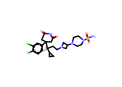 C[C@](CCN1CC(N2CCN(S(N)(=O)=O)CC2)C1)(C1CC1)C1(c2ccc(Cl)c(Cl)c2)CC(=O)NC(=O)C1